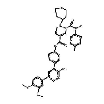 COc1ccc(-c2cnc(N)c(-c3ccc(NC(=O)/C(C=O)=C/N(CC4CCOCC4)C(=O)N(C)c4ccc(C)cc4)cc3)c2)cc1OC